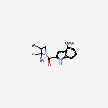 COc1cccc2[nH]c(C(=O)N3CC(C(C)C)C3(C(C)C)C(C)C)cc12